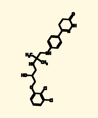 CC(C)(CNc1ccc(C2=NNC(=O)CC2)cc1)NCC(O)COc1cccc(Cl)c1Cl